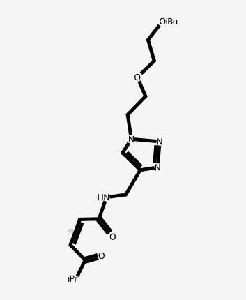 CC(C)COCCOCCn1cc(CNC(=O)/C=C\C(=O)C(C)C)nn1